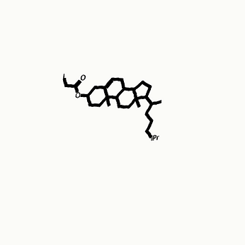 CC(C)CCCC(C)C1CCC2C3CC=C4CC(OC(=O)CI)CCC4(C)C3CCC12C